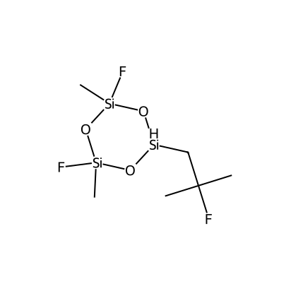 CC(C)(F)C[SiH]1O[Si](C)(F)O[Si](C)(F)O1